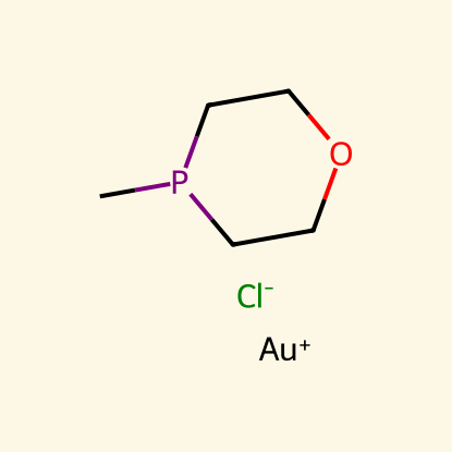 CP1CCOCC1.[Au+].[Cl-]